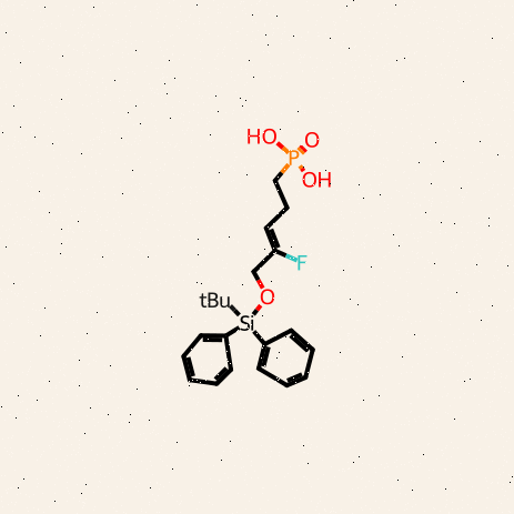 CC(C)(C)[Si](OC/C(F)=C/CCP(=O)(O)O)(c1ccccc1)c1ccccc1